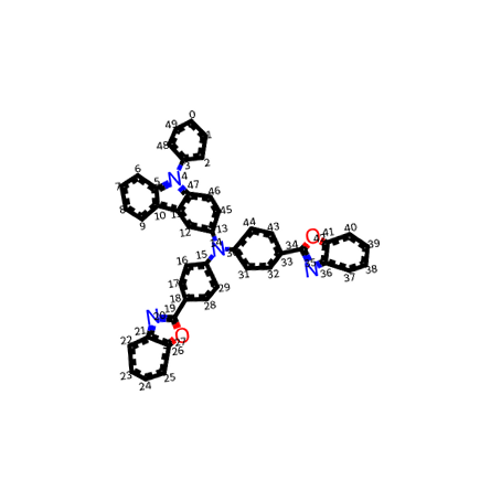 c1ccc(-n2c3ccccc3c3cc(N(c4ccc(-c5nc6ccccc6o5)cc4)c4ccc(-c5nc6ccccc6o5)cc4)ccc32)cc1